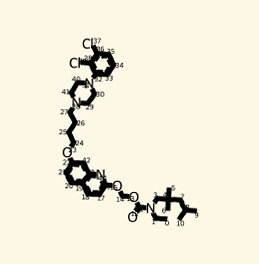 CCN(CC(C)(C)CC(C)C)C(=O)OCOc1ccc2ccc(OCCCCN3CCN(c4cccc(Cl)c4Cl)CC3)cc2n1